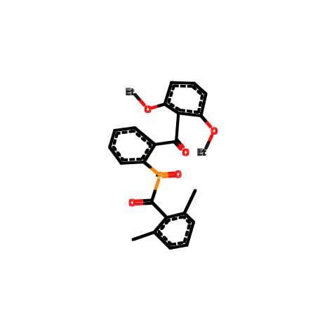 CCOc1cccc(OCC)c1C(=O)c1ccccc1[P](=O)C(=O)c1c(C)cccc1C